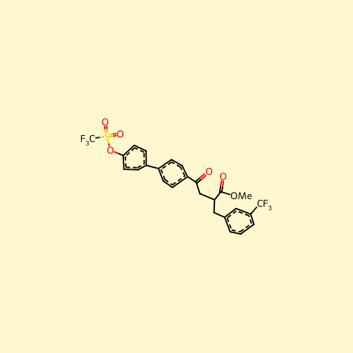 COC(=O)C(CC(=O)c1ccc(-c2ccc(OS(=O)(=O)C(F)(F)F)cc2)cc1)Cc1cccc(C(F)(F)F)c1